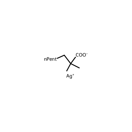 CCCCCCC(C)(C)C(=O)[O-].[Ag+]